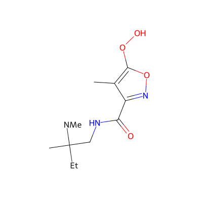 CCC(C)(CNC(=O)c1noc(OO)c1C)NC